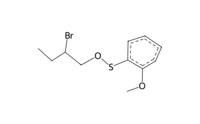 CCC(Br)COSc1ccccc1OC